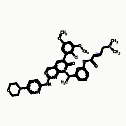 COc1cc(OC)c(Cl)c(-c2cc3cnc(Nc4ccc(N5CCOCC5)cn4)nc3n(C(C)c3cccc(NC(=O)/C=C/CN(C)C)c3)c2=O)c1